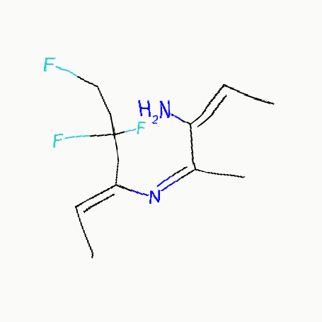 C\C=C(/N=C(C)\C(N)=C/C)C(F)(F)CF